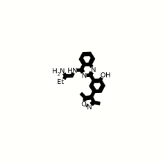 CCC(N)CNc1nc(-c2cc(-c3c(C)noc3C)ccc2O)nc2ccccc12